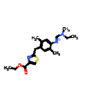 CCOC(=O)c1csc(Cc2cc(C)c(/N=C/N(C)CC)cc2C)n1